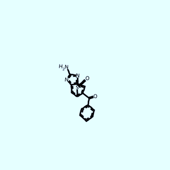 Nc1nc2cc3c(C(=O)c4ccccc4)cc2n1S3(=O)=O